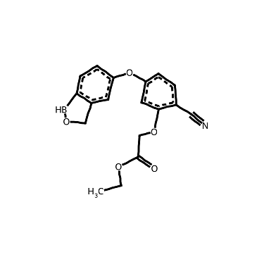 CCOC(=O)COc1cc(Oc2ccc3c(c2)COB3)ccc1C#N